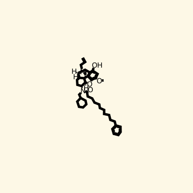 C=CCN1CC[C@]23c4c5c(O)cc(OC)c4O[C@H]2[C@@H](N(CC2CCCCC2)C(=O)CCCCCCCCCCc2ccccc2)CC[C@H]3[C@H]1C5